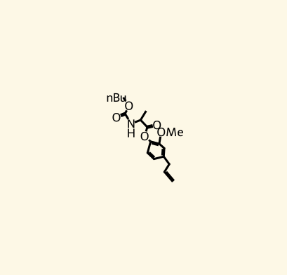 C=CCc1ccc(OC(=O)C(C)NC(=O)OCCCC)c(OC)c1